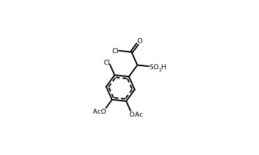 CC(=O)Oc1cc(Cl)c(C(C(=O)Cl)S(=O)(=O)O)cc1OC(C)=O